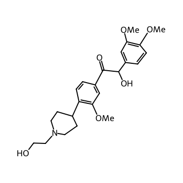 COc1ccc(C(O)C(=O)c2ccc(C3CCN(CCO)CC3)c(OC)c2)cc1OC